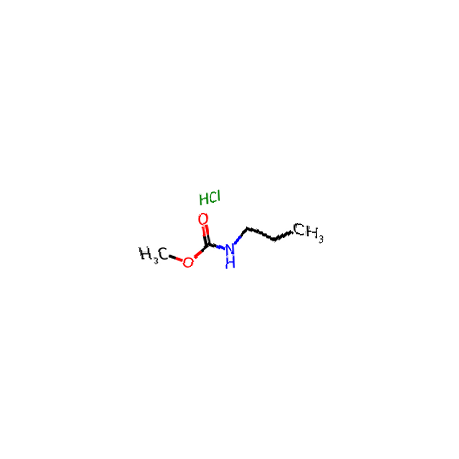 CCCNC(=O)OC.Cl